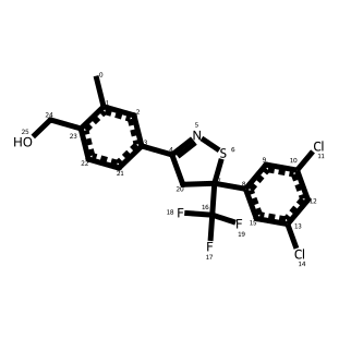 Cc1cc(C2=NSC(c3cc(Cl)cc(Cl)c3)(C(F)(F)F)C2)ccc1CO